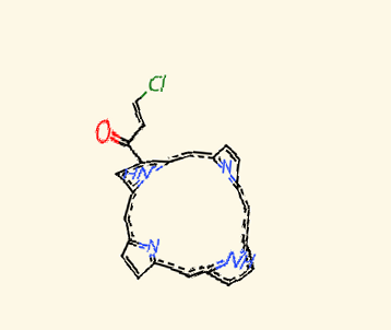 O=C(C=CCl)c1cc2cc3nc(cc4ccc(cc5nc(cc1[nH]2)C=C5)[nH]4)C=C3